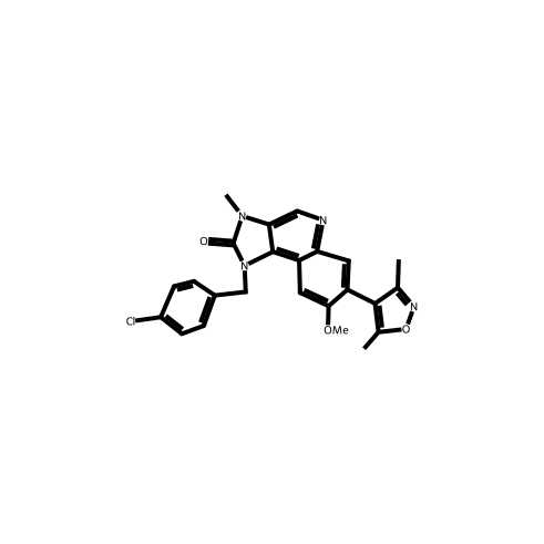 COc1cc2c(cc1-c1c(C)noc1C)ncc1c2n(Cc2ccc(Cl)cc2)c(=O)n1C